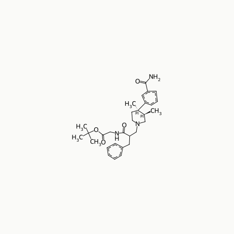 C[C@H]1CN(CC(Cc2ccccc2)C(=O)NCC(=O)OC(C)(C)C)CC[C@@]1(C)c1cccc(C(N)=O)c1